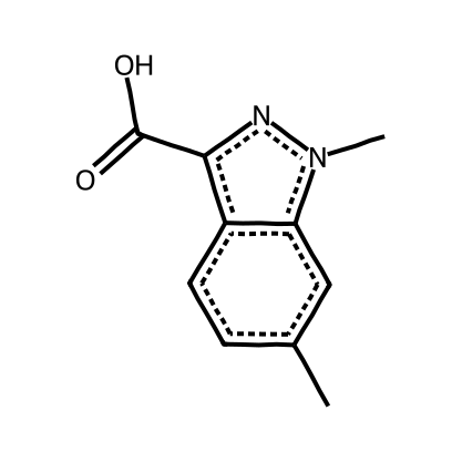 Cc1ccc2c(C(=O)O)nn(C)c2c1